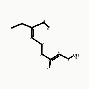 CCC(=CCCC(C)=CCO)CC